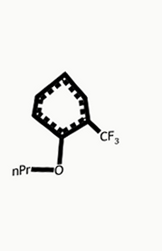 CCCOc1ccccc1C(F)(F)F